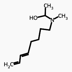 C=C/C=C/CCCCN(C)C(C)O